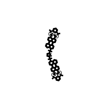 CC(C)c1cccc(C(C)C)c1N1C(=O)c2ccc3c4cccc5c(C(C)(C)c6ccc(C(C)(C)c7ccc8c9ccc%10c%11c(ccc(c%12cccc7c%128)c%119)C(=O)N(c7c(C(C)C)cccc7C(C)C)C%10=O)s6)ccc(c6ccc(c2c36)C1=O)c54